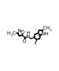 Cc1cc(C(=O)NCc2cc3cc(C)[nH]c3cc2F)on1